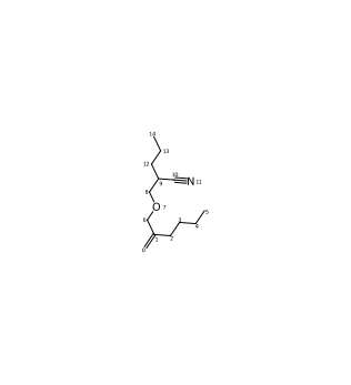 C=C(CCCC)COCC(C#N)CCC